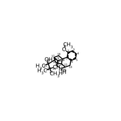 COc1cccc2c1[C@]13CCN[C@H](C2)C12CCC(C3)C(C(C)(O)C(C)(C)C)C2